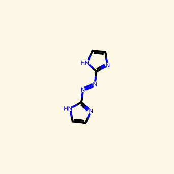 c1c[nH]c(N=Nc2ncc[nH]2)n1